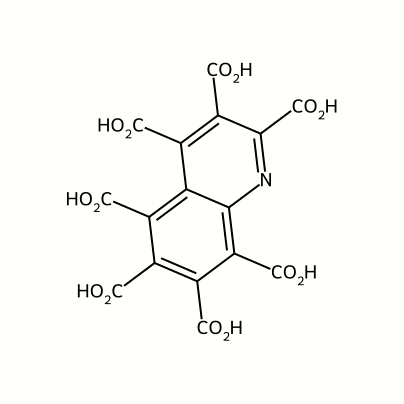 O=C(O)c1nc2c(C(=O)O)c(C(=O)O)c(C(=O)O)c(C(=O)O)c2c(C(=O)O)c1C(=O)O